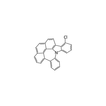 Clc1cccc2c1c1ccc3ccc4cccc5c6ccccc6n2c1c3c45